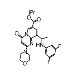 CC(C)OC(=O)c1cc(C(C)Nc2cc(F)cc(F)c2)c2nc(N3CCOCC3)cc(=O)n2c1